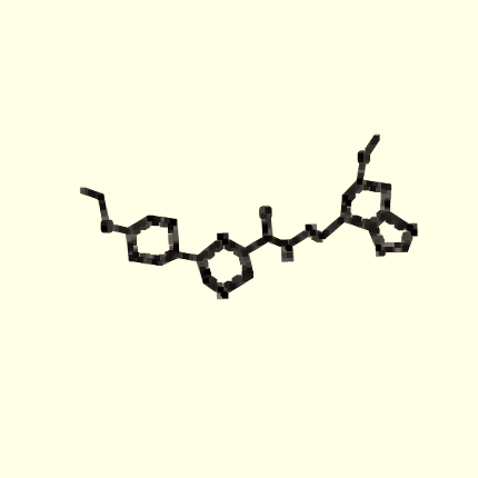 CCOc1ccc(-c2cncc(C(=O)N/N=C/c3cc(OC)cc4ncsc34)n2)cc1